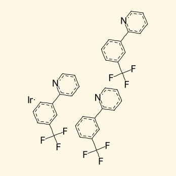 FC(F)(F)c1cccc(-c2ccccn2)c1.FC(F)(F)c1cccc(-c2ccccn2)c1.FC(F)(F)c1cccc(-c2ccccn2)c1.[Ir]